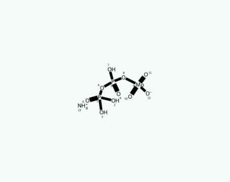 O=P(O)(O)OP(=O)(O)[O][Mo](=[O])(=[O])[O-].[NH4+]